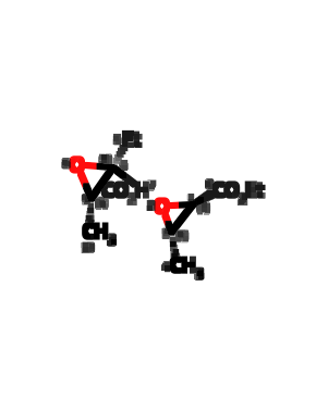 CCOC(=O)[C@@H]1O[C@H]1C.CC[C@@]1(C(=O)O)O[C@H]1C